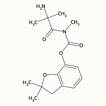 CN(C(=O)Oc1cccc2c1OC(C)(C)C2)C(=O)C(C)(C)N